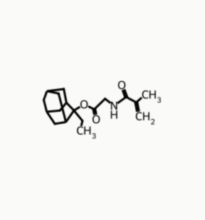 C=C(C)C(=O)NCC(=O)OC1(CC)C2CC3CC(C2)CC1C3